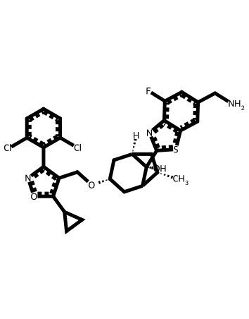 C[C@H]1C[C@@H]2C[C@@H](OCc3c(-c4c(Cl)cccc4Cl)noc3C3CC3)CC1[C@]2(O)c1nc2c(F)cc(CN)cc2s1